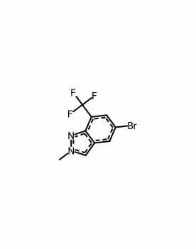 Cn1cc2cc(Br)cc(C(F)(F)F)c2n1